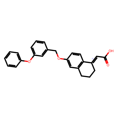 O=C(O)/C=C1\CCCc2cc(OCc3cccc(Oc4ccccc4)c3)ccc21